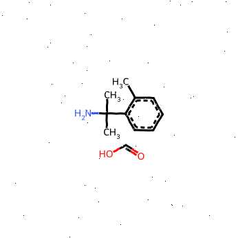 Cc1ccccc1C(C)(C)N.O=CO